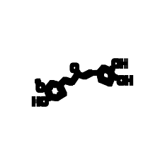 COc1cc(/C=C/C(=O)/C=C/c2ccc(O)c(O)c2)ccc1O